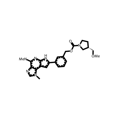 CNc1nc2[nH]c(-c3cccc(COC(=O)N4CC[C@H](COC)C4)c3)cc2c2c1ncn2C